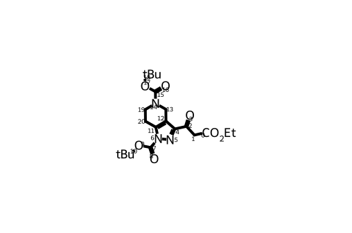 CCOC(=O)CC(=O)c1nn(C(=O)OC(C)(C)C)c2c1CN(C(=O)OC(C)(C)C)CC2